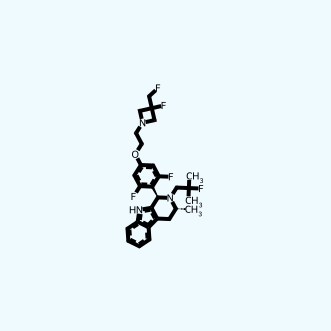 C[C@@H]1Cc2c([nH]c3ccccc23)[C@@H](c2c(F)cc(OCCN3CC(F)(CF)C3)cc2F)N1CC(C)(C)F